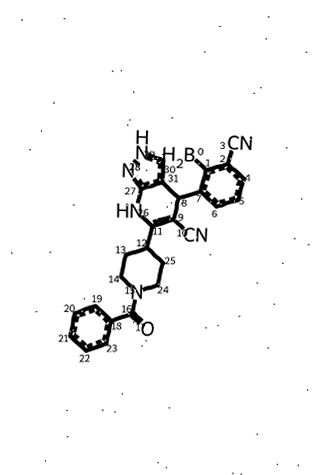 Bc1c(C#N)cccc1C1C(C#N)=C(C2CCN(C(=O)c3ccccc3)CC2)Nc2n[nH]cc21